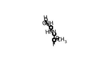 COc1cc(F)ccc1-c1ccnc(Nc2cccc(CN[SH](=O)=O)c2)c1